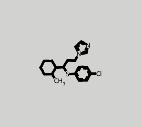 CC1CCCCC1C(CCn1ccnc1)Sc1ccc(Cl)cc1